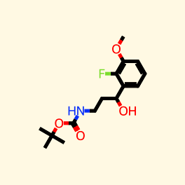 COc1cccc(C(O)CCNC(=O)OC(C)(C)C)c1F